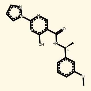 COc1cccc([C@H](C)NC(=O)c2cnc(-n3cccn3)nc2O)c1